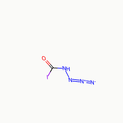 [N-]=[N+]=NNC(=O)I